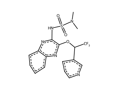 CN(C)S(=O)(=O)Nc1nc2ccccc2nc1OC(c1cccnc1)C(F)(F)F